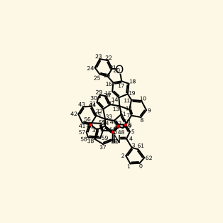 c1ccc(-c2cc(-c3cccc4c3C3(c5cc6c(cc5-4)oc4ccccc46)c4ccccc4C4(c5ccccc5-c5ccccc54)c4ccccc43)cc(-c3ccccc3)n2)cc1